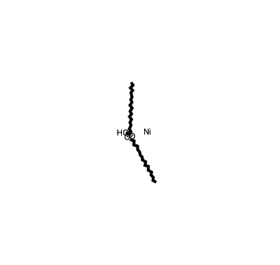 CCCCCCCCCCCCCCCCCCOP(=O)(O)CCCCCCCCCCCCCCCCCC.[Ni]